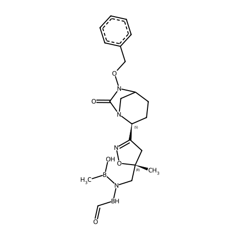 CB(O)N(BC=O)C[C@@]1(C)CC([C@@H]2CCC3CN2C(=O)N3OCc2ccccc2)=NO1